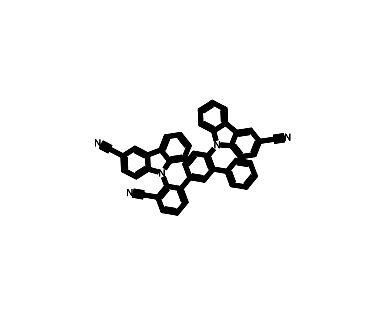 N#Cc1ccc2c(c1)c1ccccc1n2-c1ccc(-c2cccc(C#N)c2-n2c3ccccc3c3cc(C#N)ccc32)cc1-c1ccccc1